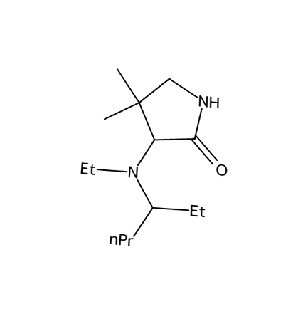 CCCC(CC)N(CC)C1C(=O)NCC1(C)C